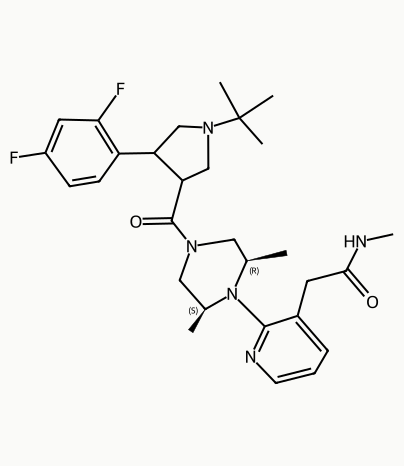 CNC(=O)Cc1cccnc1N1[C@H](C)CN(C(=O)C2CN(C(C)(C)C)CC2c2ccc(F)cc2F)C[C@@H]1C